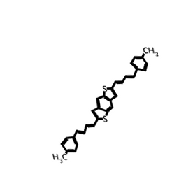 Cc1ccc(/C=C/C=C/c2cc3cc4sc(/C=C/C=C/c5ccc(C)cc5)cc4cc3s2)cc1